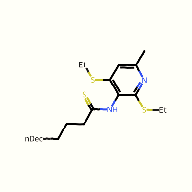 CCCCCCCCCCCCCC(=S)Nc1c(SCC)cc(C)nc1SCC